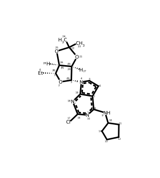 CC[C@H]1O[C@@H](n2ccc3c(NC4CCCC4)nc(Cl)nc32)[C@@H]2OC(C)(C)O[C@@H]21